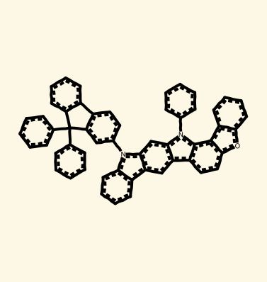 c1ccc(-n2c3cc4c(cc3c3ccc5oc6ccccc6c5c32)c2ccccc2n4-c2ccc3c(c2)C(c2ccccc2)(c2ccccc2)c2ccccc2-3)cc1